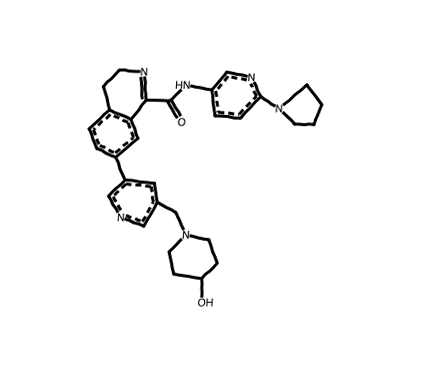 O=C(Nc1ccc(N2CCCC2)nc1)C1=NCCc2ccc(-c3cncc(CN4CCC(O)CC4)c3)cc21